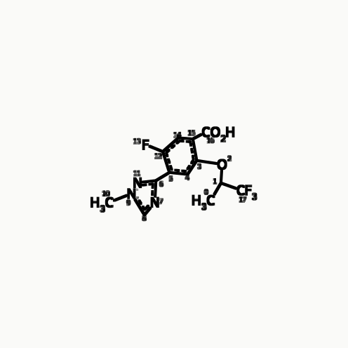 CC(Oc1cc(-c2ncn(C)n2)c(F)cc1C(=O)O)C(F)(F)F